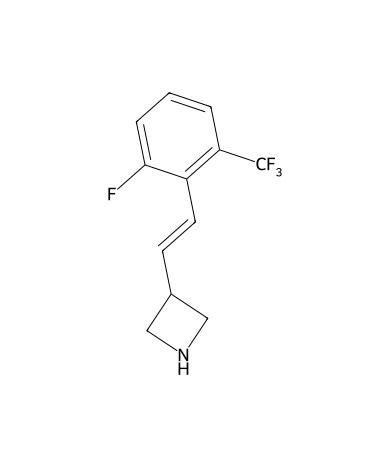 Fc1cccc(C(F)(F)F)c1/C=C/C1CNC1